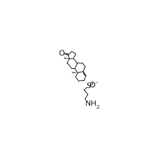 C[C@]12CC[C@@H]([S+]([O-])CCCN)C=C1CCC1C2CC[C@]2(C)C(=O)CCC12